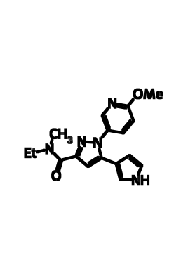 CCN(C)C(=O)c1cc(-c2cc[nH]c2)n(-c2ccc(OC)nc2)n1